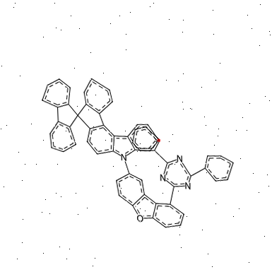 c1ccc(-c2nc(-c3ccccc3)nc(-c3cccc4oc5ccc(-n6c7ccccc7c7c8c(ccc76)C6(c7ccccc7-c7ccccc76)c6ccccc6-8)cc5c34)n2)cc1